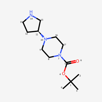 CC(C)(C)OC(=O)N1CCN([C@H]2CCNC2)CC1